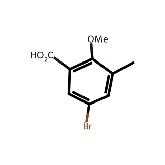 COc1c(C)cc(Br)cc1C(=O)O